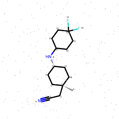 C[C@]1(CC#N)CC[C@H](NC2CCC(F)(F)CC2)CC1